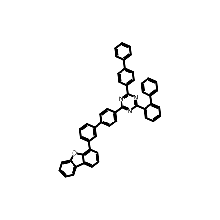 c1ccc(-c2ccc(-c3nc(-c4ccc(-c5cccc(-c6cccc7c6oc6ccccc67)c5)cc4)nc(-c4ccccc4-c4ccccc4)n3)cc2)cc1